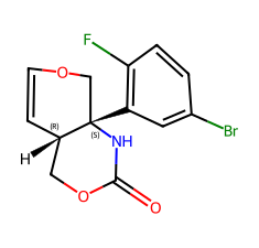 O=C1N[C@@]2(c3cc(Br)ccc3F)COC=C[C@H]2CO1